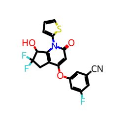 N#Cc1cc(F)cc(Oc2cc(=O)n(-c3cccs3)c3c2CC(F)(F)C3O)c1